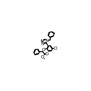 COC(=O)C(Oc1ccc(Cl)cc1-c1nncn1Cc1ccccc1)c1ccccc1